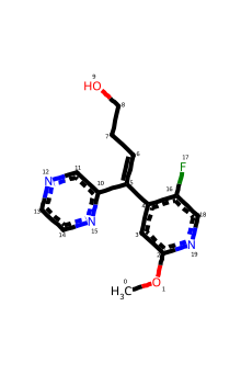 COc1cc(C(=CCCO)c2cnccn2)c(F)cn1